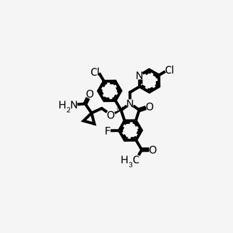 CC(=O)c1cc(F)c2c(c1)C(=O)N(Cc1ccc(Cl)cn1)[C@@]2(OCC1(C(N)=O)CC1)c1ccc(Cl)cc1